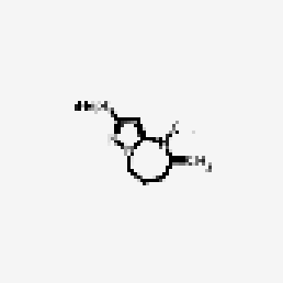 C=C1CCCn2nc(CCCCCCC)cc2N1C